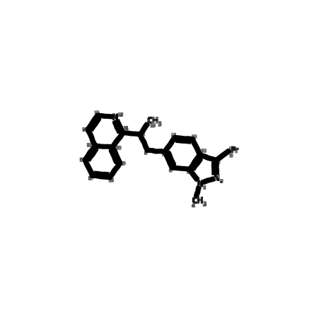 CC(C)c1nn(C)c2cc(CC(C)c3nccc4ccccc34)ccc12